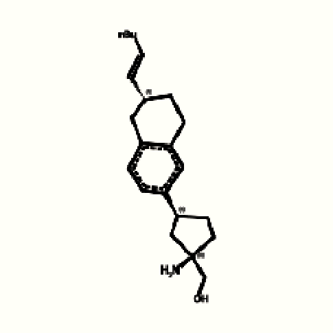 CCCCC=C[C@@H]1CCc2cc([C@H]3CC[C@](N)(CO)C3)ccc2C1